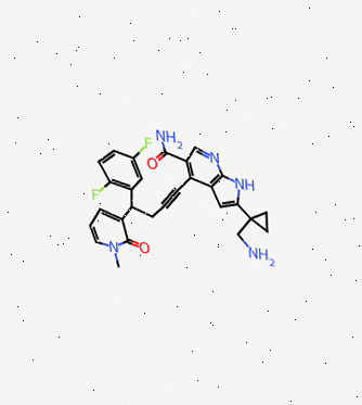 Cn1cccc(C(CC#Cc2c(C(N)=O)cnc3[nH]c(C4(CN)CC4)cc23)c2cc(F)ccc2F)c1=O